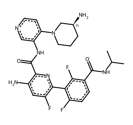 CC(C)NC(=O)c1ccc(F)c(-c2nc(C(=O)Nc3cnccc3N3CCC[C@H](N)C3)c(N)cc2F)c1F